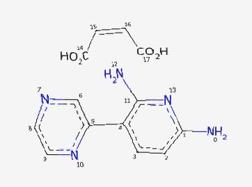 Nc1ccc(-c2cnccn2)c(N)n1.O=C(O)/C=C\C(=O)O